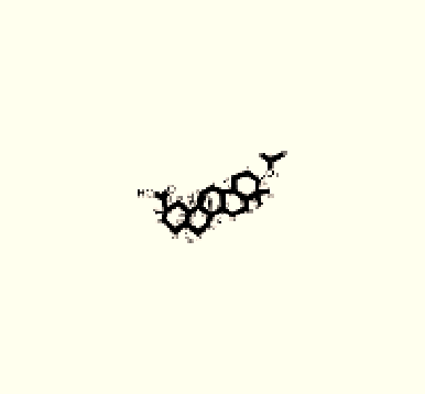 CC(C)O[C@H]1CC[C@@]2(C)C(CC[C@]3(C)C2CC=C2[C@@H]4C[C@@](C)(C(=O)O)CC[C@]4(C)CC[C@]23C)C1(C)C